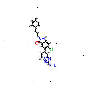 Cc1ccc(CCCNC(=O)c2cc(-c3ccn4nc(N)nc4c3)c(Cl)cc2C)cc1